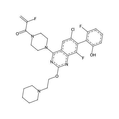 C=C(F)C(=O)N1CCN(c2nc(OCCN3CCCCC3)nc3c(F)c(-c4c(O)cccc4F)c(Cl)cc23)CC1